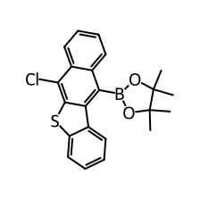 CC1(C)OB(c2c3ccccc3c(Cl)c3sc4ccccc4c23)OC1(C)C